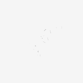 C[C@@H]1CC(c2ccc3cc(CO)ccc3n2)C[C@@H](C)O1